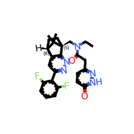 CCN(C[C@@]12CC[C@@H](c3cc(-c4c(F)cccc4F)nnc31)C2(C)C)C(=O)Cc1ccc(=O)[nH]n1